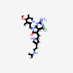 COc1c(C)cnc(CN2C(=O)/C(=C\c3cc(CCNC(C)C)c[nH]3)c3c(Cl)nc(N)nc32)c1C